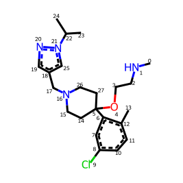 CNCCOC1(c2cc(Cl)ccc2C)CCN(Cc2cnn(C(C)C)c2)CC1